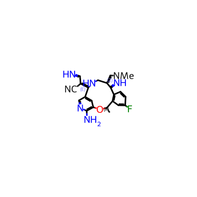 CN/C=C1/CN/C(=C(/C#N)C=N)c2cnc(N)c(c2)O[C@H](C)c2cc(F)ccc2C1=N